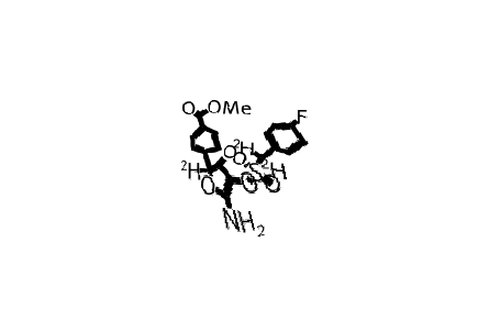 [2H]C([2H])(c1ccc(F)cc1)S(=O)(=O)OC1=C(N)O[C@]([2H])(c2ccc(C(=O)OC)cc2)C1=O